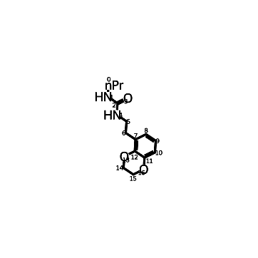 CCCNC(=O)NCCc1cccc2c1OCCO2